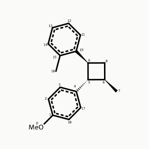 COc1ccc([C@H]2[C@H](C)C[C@@H]2c2ccccc2C)cc1